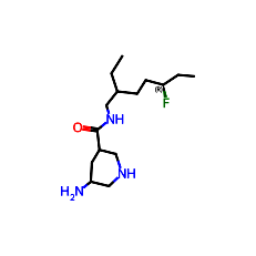 CCC(CC[C@H](F)CC)CNC(=O)C1CNCC(N)C1